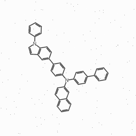 c1ccc(-c2ccc(N(c3ccc(-c4ccc5c(ccn5-c5ccccc5)c4)cc3)c3ccc4ccccc4c3)cc2)cc1